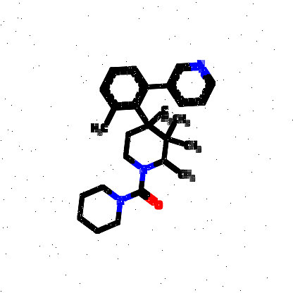 Cc1cccc(-c2cccnc2)c1C1(C)CCN(C(=O)N2CCCCC2)C(C)C1(C)C